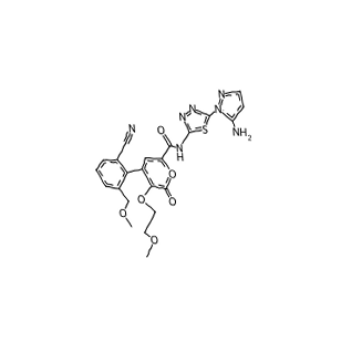 COCCOc1c(-c2c(C#N)cccc2COC)cc(C(=O)Nc2nnc(-n3nccc3N)s2)oc1=O